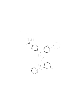 Cc1ccc(NC(=O)NC(c2ccc(C(=O)NCCC(=O)O)cc2)c2ccc(C3CCCCC3)cc2)c(S(=O)(=O)c2ccccc2)c1C